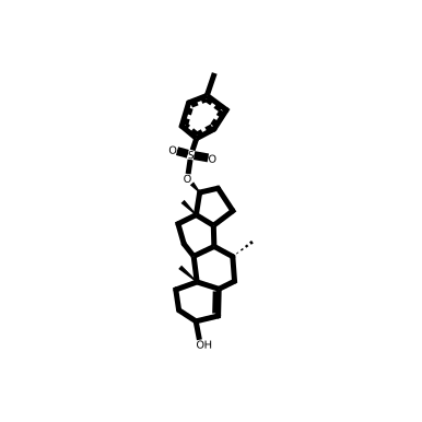 Cc1ccc(S(=O)(=O)O[C@H]2CCC3C4C(CC[C@@]32C)[C@@]2(C)CCC(O)C=C2C[C@H]4C)cc1